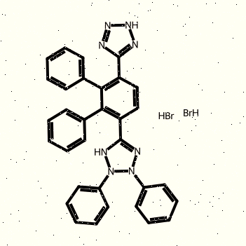 Br.Br.c1ccc(-c2c(C3=NN(c4ccccc4)N(c4ccccc4)N3)ccc(-c3nn[nH]n3)c2-c2ccccc2)cc1